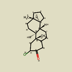 C[C@@]12CCC[C@H]1[C@@H]1CCC3CC(=O)C(Cl)C[C@]3(C)[C@H]1CC2